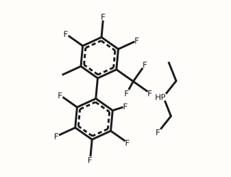 CCPCF.Cc1c(F)c(F)c(F)c(C(F)(F)F)c1-c1c(F)c(F)c(F)c(F)c1F